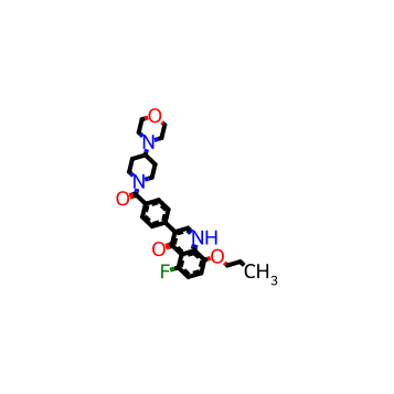 CCCOc1ccc(F)c2c(=O)c(-c3ccc(C(=O)N4CCC(N5CCOCC5)CC4)cc3)c[nH]c12